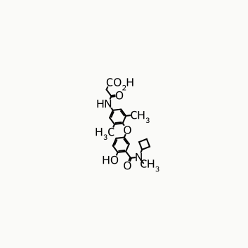 Cc1cc(NC(=O)CC(=O)O)cc(C)c1Oc1ccc(O)c(C(=O)N(C)C2CCC2)c1